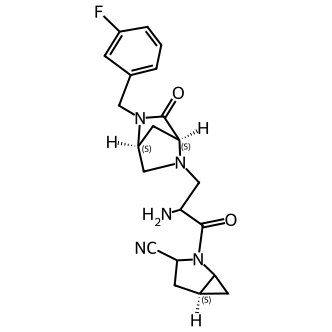 N#CC1C[C@@H]2CC2N1C(=O)C(N)CN1C[C@@H]2C[C@H]1C(=O)N2Cc1cccc(F)c1